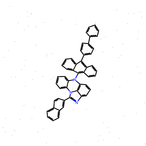 c1ccc(-c2ccc(-c3c4ccccc4c(N4c5ccccc5-n5c(-c6ccc7ccccc7c6)nc6cccc4c65)c4ccccc34)cc2)cc1